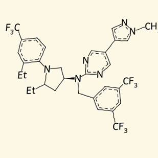 CCc1cc(C(F)(F)F)ccc1N1C[C@@H](N(Cc2cc(C(F)(F)F)cc(C(F)(F)F)c2)c2ncc(-c3cnn(C)c3)cn2)CC1CC